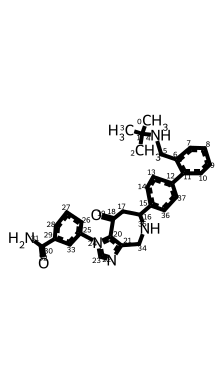 CC(C)(C)NCc1ccccc1-c1ccc(C2CC(=O)c3c(ncn3-c3cccc(C(N)=O)c3)CN2)cc1